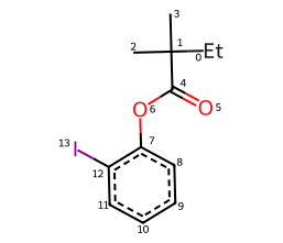 CCC(C)(C)C(=O)Oc1ccccc1I